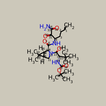 C=CCCC(NC(=O)[C@@H]1[C@H]2[C@@H](CN1C(=O)[C@@H](NC(=O)OC(C)(C)C)C(C)(C)C)C2(C)C)C(=O)C(N)=O